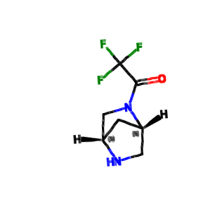 O=C(N1C[C@@H]2C[C@H]1CN2)C(F)(F)F